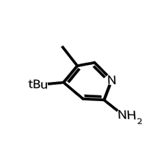 Cc1cnc(N)cc1C(C)(C)C